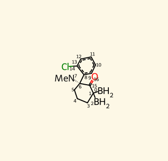 BC1(B)CCC[C@@](NC)(c2ccccc2Cl)C1=O